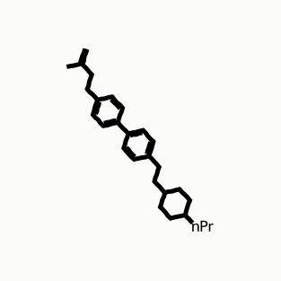 C=C(C)CCc1ccc(-c2ccc(CCC3CCC(CCC)CC3)cc2)cc1